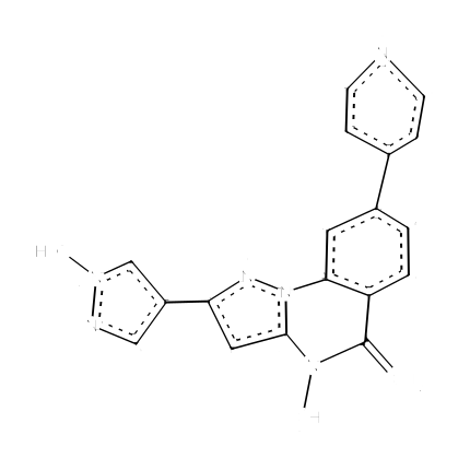 C=C1c2ccc(-c3ccncc3)cc2-n2nc(-c3cnn(C)c3)cc2N1C